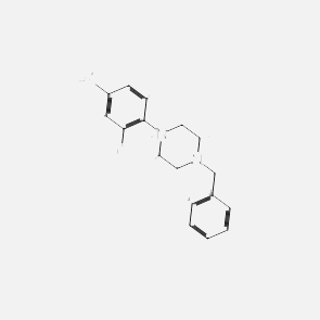 Clc1cc(Br)ccc1N1CCN(Cc2ccccc2)CC1